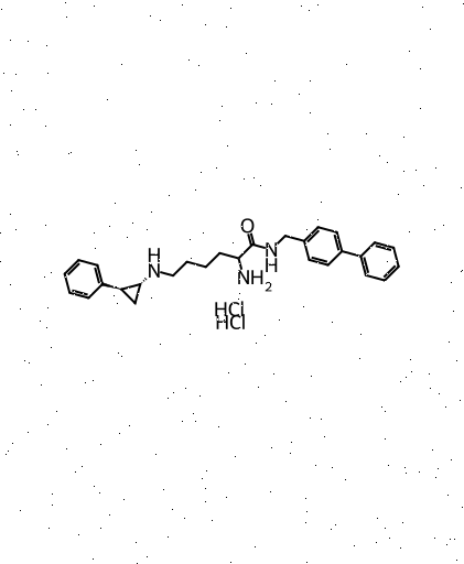 Cl.Cl.NC(CCCCN[C@@H]1C[C@H]1c1ccccc1)C(=O)NCc1ccc(-c2ccccc2)cc1